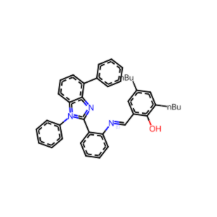 CCCCc1cc(/C=N/c2ccccc2-c2nc3c(-c4ccccc4)cccc3n2-c2ccccc2)c(O)c(CCCC)c1